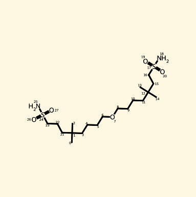 CC(C)(CCCCOCCCCC(C)(C)CCS(N)(=O)=O)CCCS(N)(=O)=O